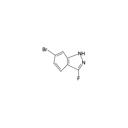 Fc1n[nH]c2cc(Br)ccc12